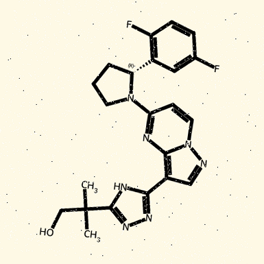 CC(C)(CO)c1nnc(-c2cnn3ccc(N4CCC[C@@H]4c4cc(F)ccc4F)nc23)[nH]1